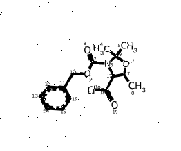 CC1OC(C)(C)N(C(=O)OCc2ccccc2)C1C(=O)Cl